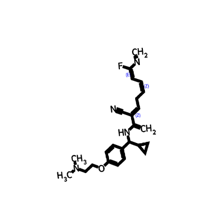 C=N/C(F)=C\C=C/C/C=C(\C#N)C(=C)NC(c1ccc(OCCN(C)C)cc1)C1CC1